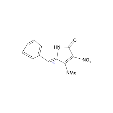 CNC1=C([N+](=O)[O-])C(=O)N/C1=C\c1ccccc1